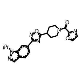 CC(C)n1ncc2ccc(-c3noc(C4CCN(C(=O)c5ncco5)CC4)n3)cc21